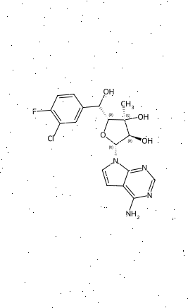 C[C@@]1(O)[C@@H](C(O)c2ccc(F)c(Cl)c2)O[C@@H](n2ccc3c(N)ncnc32)[C@@H]1O